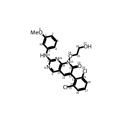 COc1cccc(Nc2ncc3cc(-c4c(Cl)cccc4Cl)c(=O)n(OCCO)c3n2)c1